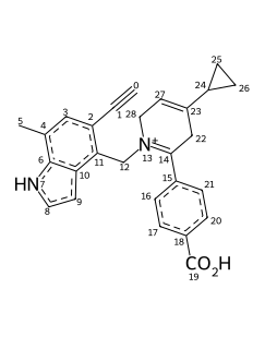 C#Cc1cc(C)c2[nH]ccc2c1C[N+]1=C(c2ccc(C(=O)O)cc2)CC(C2CC2)=CC1